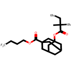 CC(C)(C)CC(C)(C(=O)OC12CC3CC(C1)CC(C(=O)OCCCC(F)(F)F)(C3)C2)C(C)(C)C